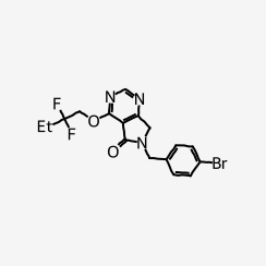 CCC(F)(F)COc1ncnc2c1C(=O)N(Cc1ccc(Br)cc1)C2